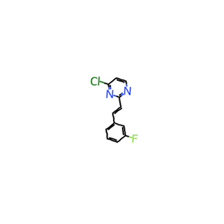 Fc1cccc(/C=C/c2nccc(Cl)n2)c1